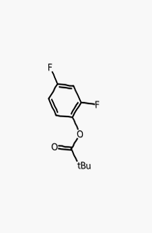 CC(C)(C)C(=O)Oc1ccc(F)cc1F